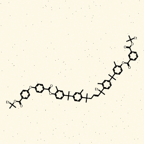 CCC(C)(C)OC(=O)c1ccc(Oc2ccc(C(=O)Oc3ccc(C(C)(C)c4ccc(C(C)(C)C/C=C/C(C)(CC)c5ccc(C(C)(C)c6ccc(OC(=O)c7cccc(C(=O)OC(C)(C)CC)c7)c(C)c6)cc5C)c(C)c4)cc3C)cc2)cc1